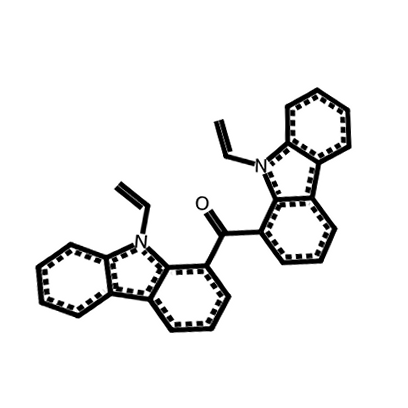 C=Cn1c2ccccc2c2cccc(C(=O)c3cccc4c5ccccc5n(C=C)c34)c21